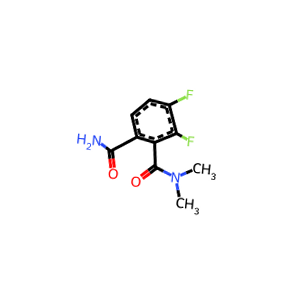 CN(C)C(=O)c1c(C(N)=O)ccc(F)c1F